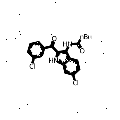 CCCCC(=O)Nc1c(C(=O)c2cccc(Cl)c2)[nH]c2cc(Cl)ccc12